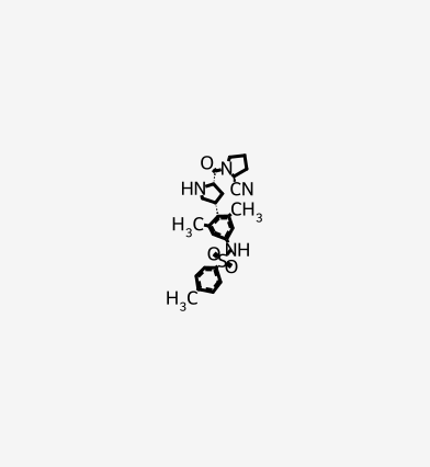 Cc1ccc(S(=O)(=O)Nc2cc(C)c([C@@H]3CN[C@H](C(=O)N4CCC[C@H]4C#N)C3)c(C)c2)cc1